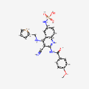 COc1ccc(C(=O)Nc2nc3ccc(NS(=O)(=O)O)cc3c(NCc3cccs3)c2C#N)cc1